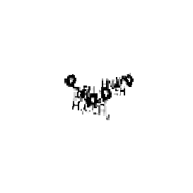 Cc1c(NC(S)=NCCc2ccccc2)ccc(Oc2ccc(NC(S)=NCCc3ccccc3)cc2)c1C